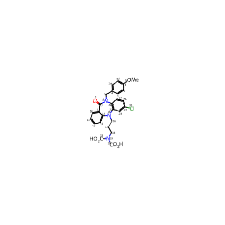 COc1ccc(CN2C(=O)c3ccccc3N(CCCN(C(=O)O)C(=O)O)c3cc(Cl)ccc32)cc1